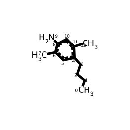 CCCCc1cc(C)c(N)cc1C